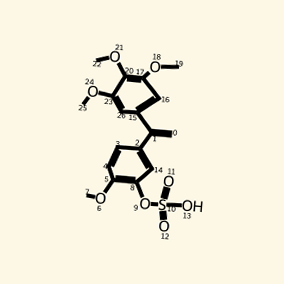 C=C(c1ccc(OC)c(OS(=O)(=O)O)c1)c1cc(OC)c(OC)c(OC)c1